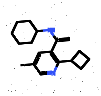 C=C(NC1CCCCC1)c1cc(C)cnc1C1CCC1